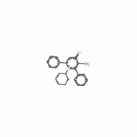 Cc1c(-c2ccccc2)n(C2CCCCC2)c(-c2ccccc2)cc1=O